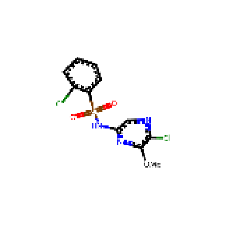 COc1nc(NS(=O)(=O)c2ccccc2Cl)cnc1Cl